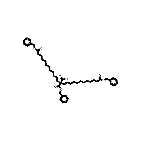 O=C(CCCCCCCCCCCC(CCCCCCCCCCCC(=O)OCc1ccccc1)(C(=O)O)C(=O)OCc1ccccc1)OCc1ccccc1